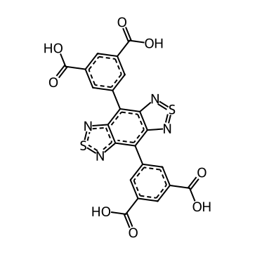 O=C(O)c1cc(C(=O)O)cc(-c2c3c(c(-c4cc(C(=O)O)cc(C(=O)O)c4)c4nsnc24)N=S=N3)c1